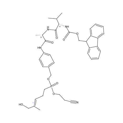 C/C(=C\CCP(=O)(OCCC#N)OCc1ccc(NC(=O)[C@H](C)NC(=O)[C@@H](NC(=O)OCC2c3ccccc3-c3ccccc32)C(C)C)cc1)CO